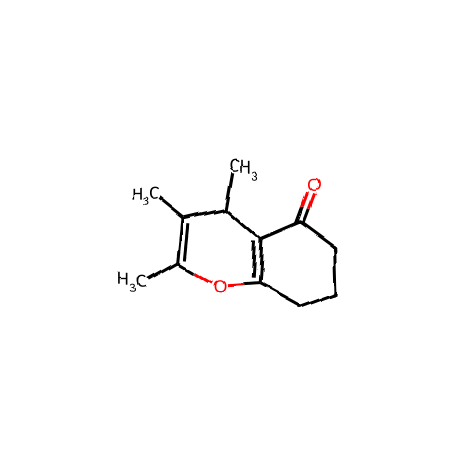 CC1=C(C)C(C)C2=C(CCCC2=O)O1